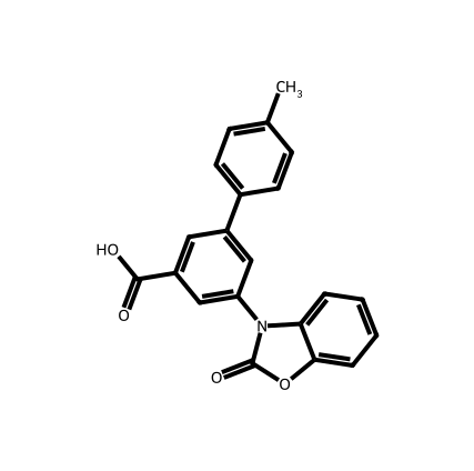 Cc1ccc(-c2cc(C(=O)O)cc(-n3c(=O)oc4ccccc43)c2)cc1